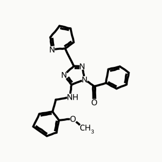 COc1ccccc1CNc1nc(-c2ccccn2)nn1C(=O)c1ccccc1